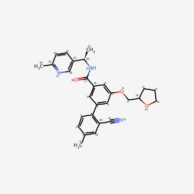 Cc1ccc(-c2cc(OCC3CCCO3)cc(C(=O)N[C@H](C)c3ccc(C)nc3)c2)c(C#N)c1